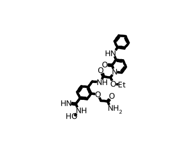 CCOC(C(=O)NCc1ccc(C(=N)NO)cc1OCC(N)=O)n1cccc(Nc2ccccc2)c1=O